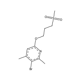 Cc1cc(OCCCS(C)(=O)=O)nc(C)c1Br